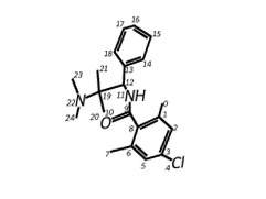 Cc1cc(Cl)cc(C)c1C(=O)NC(c1ccccc1)C(C)(C)N(C)C